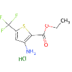 CCOC(=O)c1sc(C(F)(F)F)cc1N.Cl